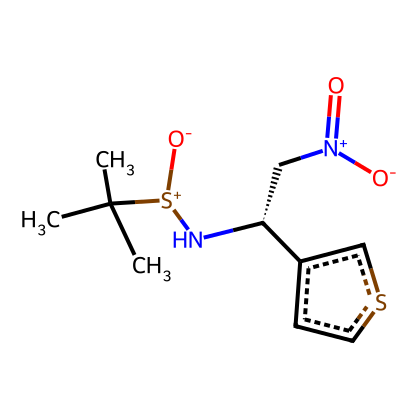 CC(C)(C)[S+]([O-])N[C@H](C[N+](=O)[O-])c1ccsc1